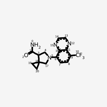 NC(=O)C1CN(c2ccc(C(F)(F)F)c3nccnc23)CC12CC2